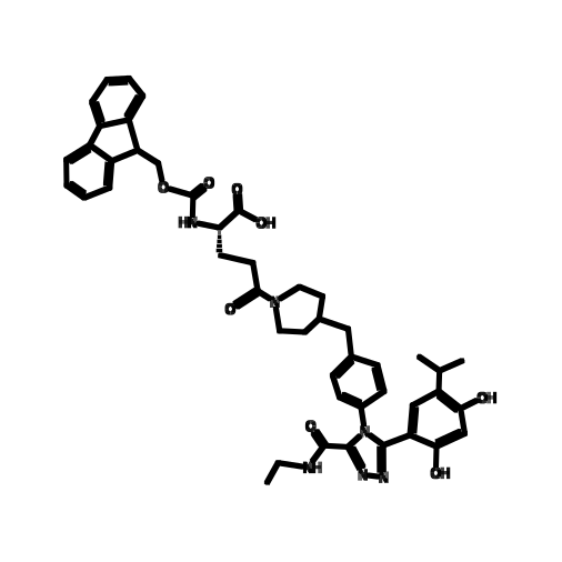 CCNC(=O)c1nnc(-c2cc(C(C)C)c(O)cc2O)n1-c1ccc(CC2CCN(C(=O)CC[C@H](NC(=O)OCC3c4ccccc4-c4ccccc43)C(=O)O)CC2)cc1